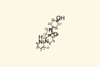 CC1=C[C]=CNC1N1CCC[C@@]2(CCN([C@H]3CC[C@H](O)CC3)C2=O)C1